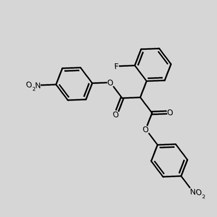 O=C(Oc1ccc([N+](=O)[O-])cc1)C(C(=O)Oc1ccc([N+](=O)[O-])cc1)c1ccccc1F